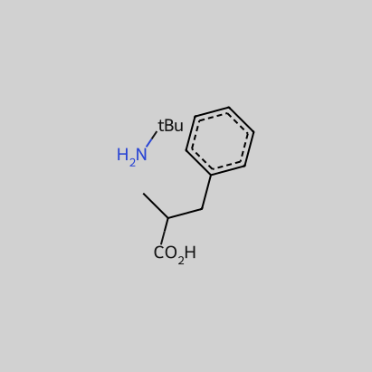 CC(C)(C)N.CC(Cc1ccccc1)C(=O)O